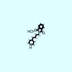 Cl.O=C1c2ccccc2C(=O)N1CCCCC1CCNCC1